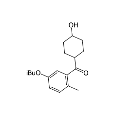 Cc1ccc(OCC(C)C)cc1C(=O)C1CCC(O)CC1